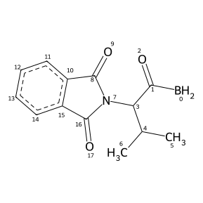 BC(=O)C(C(C)C)N1C(=O)c2ccccc2C1=O